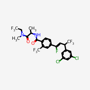 CC(NC(=O)c1ccc(/C(F)=C/C(c2cc(Cl)cc(Cl)c2)C(F)(F)F)cc1C(F)(F)F)C(=O)N(C)CC(F)(F)F